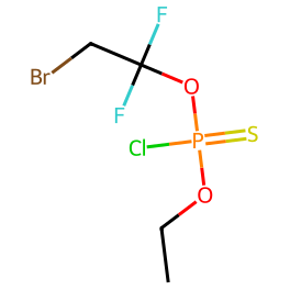 CCOP(=S)(Cl)OC(F)(F)CBr